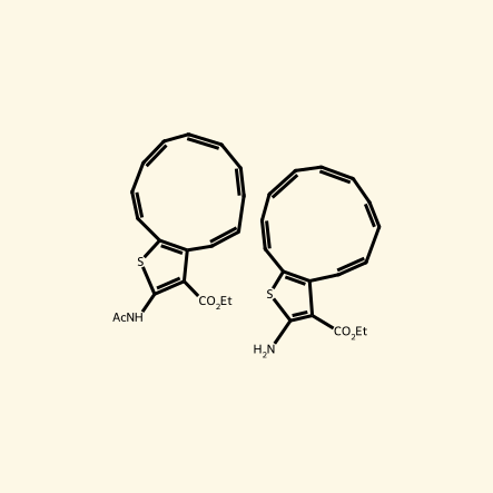 CCOC(=O)c1c(N)sc2c1C=CC=CC=CC=CC=C2.CCOC(=O)c1c(NC(C)=O)sc2c1C=CC=CC=CC=CC=C2